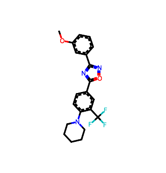 COc1cccc(-c2noc(-c3ccc(N4CCCCC4)c(C(F)(F)F)c3)n2)c1